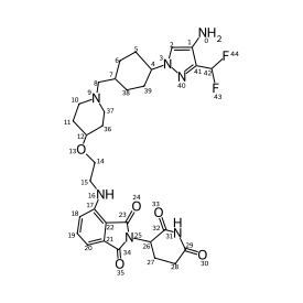 Nc1cn(C2CCC(CN3CCC(OCCNc4cccc5c4C(=O)N(C4CCC(=O)NC4=O)C5=O)CC3)CC2)nc1C(F)F